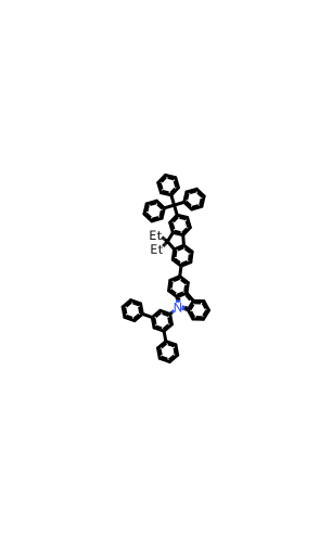 CCC1(CC)c2cc(-c3ccc4c(c3)c3ccccc3n4-c3cc(-c4ccccc4)cc(-c4ccccc4)c3)ccc2-c2ccc(C(c3ccccc3)(c3ccccc3)c3ccccc3)cc21